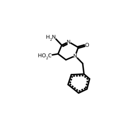 NC1=NC(=O)N(Cc2ccccc2)CC1C(=O)O